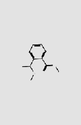 CNC(C)c1ccccc1C(=O)OC